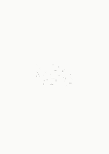 CC(C)(C)c1cc2c3c(c1)C1(C)CCCCC1(C)N3c1cccc3c1B2c1cccc2cc(-c4ccccc4)n-3c12